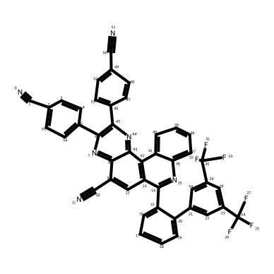 N#Cc1ccc(-c2nc3c(C#N)cc4c(-c5ccccc5-c5cc(C(F)(F)F)cc(C(F)(F)F)c5)nc5ccccc5c4c3nc2-c2ccc(C#N)cc2)cc1